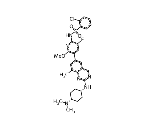 COc1nc(NS(=O)(=O)c2ccccc2Cl)c(F)cc1-c1cc(C)c2nc(N[C@H]3CC[C@@H](N(C)C)CC3)ncc2c1